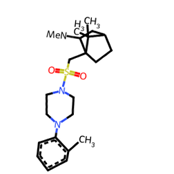 CNC1CC2CCC1(CS(=O)(=O)N1CCN(c3ccccc3C)CC1)C2(C)C